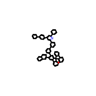 c1ccc(-c2ccc(-c3cc(-c4ccccc4)nc(-c4cccc(-c5cccc(-c6cc7c(cc6-c6ccc8ccccc8c6)-c6ccccc6C76c7ccccc7-c7ccccc76)c5)c4)c3)cc2)cc1